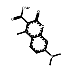 COC(=O)c1c(C)c2ccc(N(C)C)cc2oc1=O